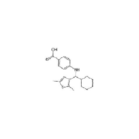 Cc1cc(C(Nc2ccc(C(=O)O)cc2)C2CCCCC2)c(C)s1